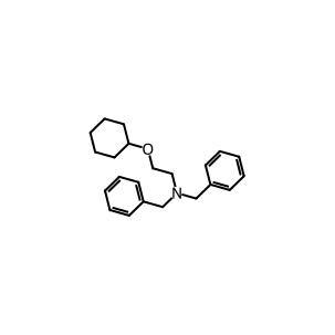 c1ccc(CN(CCOC2CCCCC2)Cc2ccccc2)cc1